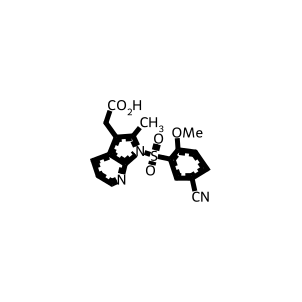 COc1ccc(C#N)cc1S(=O)(=O)n1c(C)c(CC(=O)O)c2cccnc21